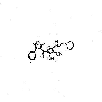 Cc1onc(-c2ccccc2)c1C(=O)c1sc(NCCN2CCCCC2)c(C#N)c1N